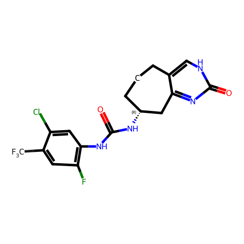 O=C(Nc1cc(Cl)c(C(F)(F)F)cc1F)N[C@@H]1CCCc2c[nH]c(=O)nc2C1